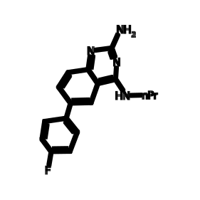 CCCNc1nc(N)nc2ccc(-c3ccc(F)cc3)cc12